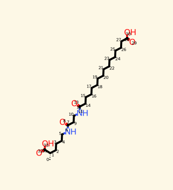 C[C@@H](CCCCNC(=O)CCNC(=O)CCCCCCCCCCCCCCC(=O)O)C(=O)O